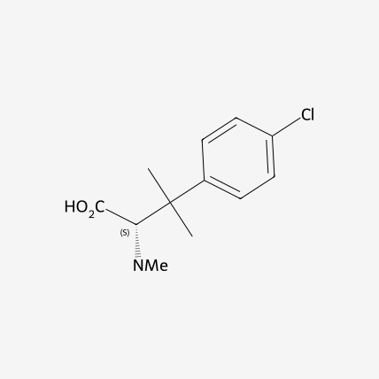 CN[C@H](C(=O)O)C(C)(C)c1ccc(Cl)cc1